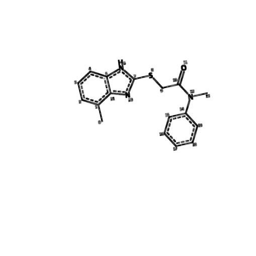 Cc1cccc2[nH]c(SCC(=O)N(C)c3ccccc3)nc12